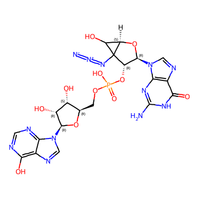 [N-]=[N+]=NC12C(O)[C@H]1O[C@@H](n1cnc3c(=O)[nH]c(N)nc31)[C@@H]2OP(=O)(O)OC[C@H]1O[C@@H](n2cnc3c(O)ncnc32)[C@H](O)[C@@H]1O